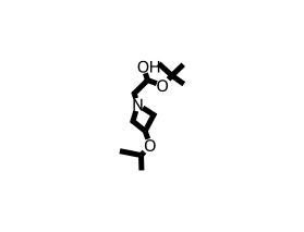 CC(C)OC1CN(CC(O)OC(C)(C)C)C1